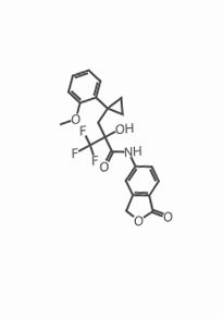 COc1ccccc1C1(CC(O)(C(=O)Nc2ccc3c(c2)COC3=O)C(F)(F)F)CC1